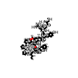 CC[C@H](C)[C@H](NC(=O)[C@@H]1CCCN1C(=O)[C@@H]1CCCN1C(=O)[C@@H]1CCCN1C(=O)[C@@H](NC(=O)[C@H](CO)NC(=O)[C@H](CCCCN)NC(=O)[C@@H](NC(=O)[C@H](Cc1ccc(O)cc1)NC(=O)[C@H](CCCNC(=N)N)NC(=O)CNC(=O)[C@@H](N)CS)[C@@H](C)O)[C@@H](C)CC)C(=O)N[C@@H](CS)C(=O)N[C@@H](Cc1ccccc1)C(=O)O